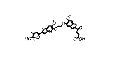 COc1cc2sc(C(=O)CCC(=O)O)cc2cc1OCCOc1nc2cc(C(=O)C[C@H](C)C(=O)O)sc2cc1OC